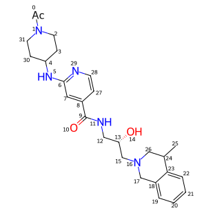 CC(=O)N1CCC(Nc2cc(C(=O)NC[C@H](O)CN3Cc4ccccc4C(C)C3)ccn2)CC1